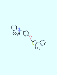 O=C(O)[C@@H]1CCCC[C@@H]1NCc1ccc(OCc2cc(-c3ccccc3)c(C(F)(F)F)s2)cc1